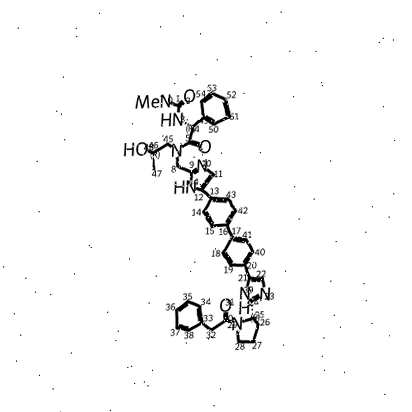 CNC(=O)N[C@@H](C(=O)N(Cc1ncc(-c2ccc(-c3ccc(-c4cnc([C@@H]5CCCN5C(=O)Cc5ccccc5)[nH]4)cc3)cc2)[nH]1)C[C@@H](C)O)c1ccccc1